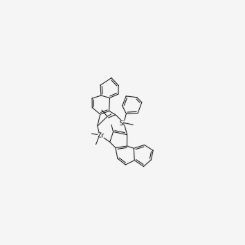 CC1=C2c3c(ccc4ccccc34)[CH]1[Zr]([CH3])([CH3])[CH]1C(C)=C(c3c1ccc1ccccc31)[Si]2(C)c1ccccc1